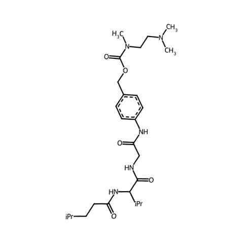 CC(C)CCC(=O)NC(C(=O)NCC(=O)Nc1ccc(COC(=O)N(C)CCN(C)C)cc1)C(C)C